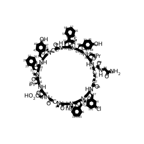 CCCC[C@H]1C(=O)N(C)CC(=O)N[C@@H](CC(=O)O)C(=O)N[C@@H](C(C)C)C(=O)N(C)[C@@H](Cc2ccccc2)C(=O)N[C@@H](Cc2ccc(O)cc2)C(=O)N(C)CC(=O)N[C@@H](Cc2csc3ccccc23)C(=O)N[C@@H](Cc2ccc(O)cc2)C(=O)N[C@@H](CC(C)C)C(=O)N[C@H](C(=O)NCC(N)=O)CSCC(=O)N[C@@H](Cc2cccc(Cl)c2)C(=O)N(C)[C@@H](Cc2ccccc2)C(=O)N1C